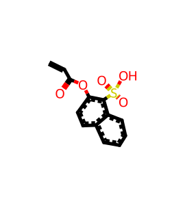 C=CC(=O)Oc1ccc2ccccc2c1S(=O)(=O)O